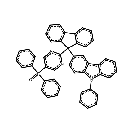 O=P(c1ccccc1)(c1ccccc1)c1cnc(C2(c3ccc4c(c3)c3ccccc3n4-c3ccccc3)c3ccccc3-c3ccccc32)nc1